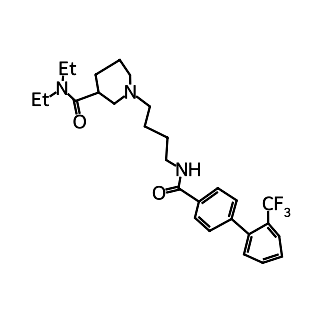 CCN(CC)C(=O)C1CCCN(CCCCNC(=O)c2ccc(-c3ccccc3C(F)(F)F)cc2)C1